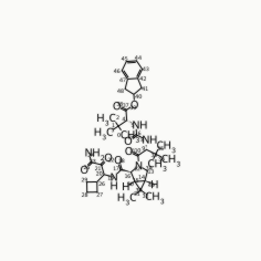 CC(C)(C)[C@@H](NC(=O)N[C@@H](C(=O)N1C[C@H]2[C@@H]([C@H]1C(=O)NC(C(=O)C(N)=O)C1CCC1)C2(C)C)C(C)(C)C)C(=O)OC1Cc2ccccc2C1